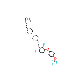 CCCC[C@H]1CC[C@H](C2CCC(CCc3c(F)c[c]c(Oc4ccc(OC(F)(F)F)cc4)c3F)CC2)CC1